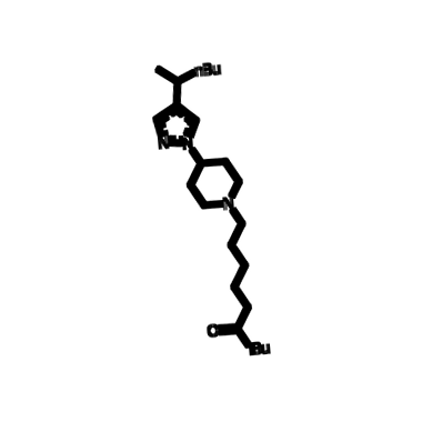 CCCCC(C)c1cnn(C2CCN(CCCCCC(=O)C(C)CC)CC2)c1